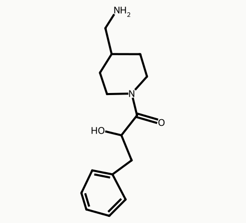 NCC1CCN(C(=O)C(O)Cc2ccccc2)CC1